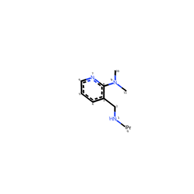 CC(C)NCc1cccnc1N(C)C